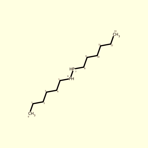 CCCCCCPPCCCCCC